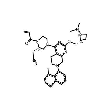 C=CC(=O)N1CCN(c2nc(OC[C@H]3CC[C@@H]3N(C)C)nc3c2CCN(c2cccc4cccc(C)c24)C3)C[C@@H]1CC#N